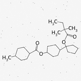 CCC(C)(C)C(=O)OC1(C2CCC(OC(=O)C3CCC(C)CC3)CC2)CCCC1